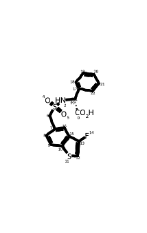 O=C(O)[C@H](NS(=O)(=O)Cc1ccc2scc(F)c2c1)c1ccccc1